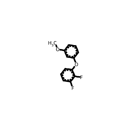 COc1[c]ccc(Oc2cccc(F)c2F)c1